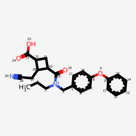 CCCN(Cc1ccc(Oc2ccccc2)cc1)C(=O)C1CC(C(=O)O)C1CC#N